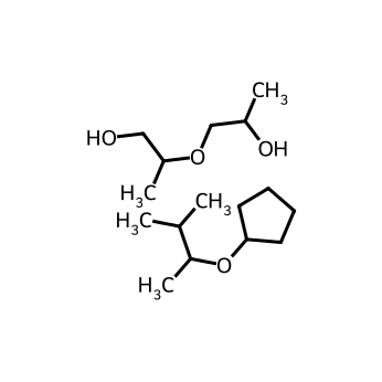 CC(C)C(C)OC1CCCC1.CC(O)COC(C)CO